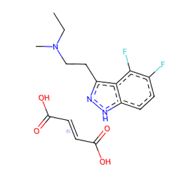 CCN(C)CCc1n[nH]c2ccc(F)c(F)c12.O=C(O)/C=C/C(=O)O